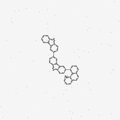 c1cnc2c(c1)ccc1cccc(-c3ccc4sc5ccc(-c6ccc7sc8ccccc8c7c6)cc5c4c3)c12